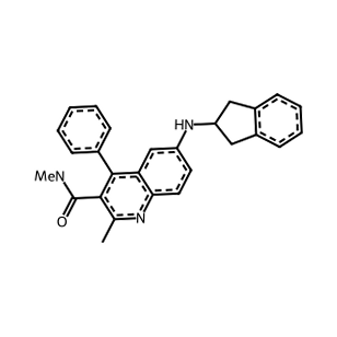 CNC(=O)c1c(C)nc2ccc(NC3Cc4ccccc4C3)cc2c1-c1ccccc1